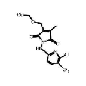 CC1=C(COCC(C)(C)C)C(=O)N(Nc2ccc(C(F)(F)F)c(Cl)n2)C1=O